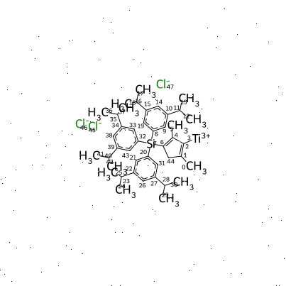 CC1=[C]([Ti+3])C(C)=C([Si](c2cc(C(C)C)cc(C(C)C)c2)(c2cc(C(C)C)cc(C(C)C)c2)c2cc(C(C)C)cc(C(C)C)c2)C1.[Cl-].[Cl-].[Cl-]